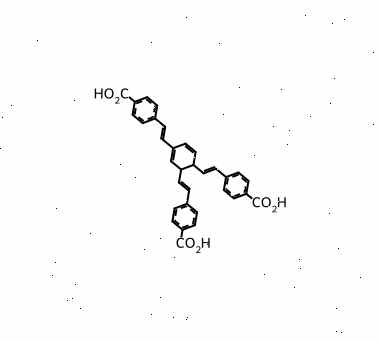 O=C(O)c1ccc(/C=C/C2=CC(/C=C/c3ccc(C(=O)O)cc3)C(/C=C/c3ccc(C(=O)O)cc3)C=C2)cc1